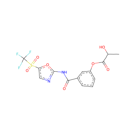 CC(O)C(=O)Oc1cccc(C(=O)Nc2ncc(S(=O)(=O)C(F)(F)F)o2)c1